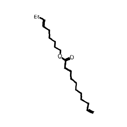 C=CCCCCCCCCC(=O)OCCCCC/C=C/CC